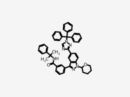 CC(C)(NC(=O)c1cccc(-c2nn(C3CCCCO3)c3ccc(-c4ncn(C(c5ccccc5)(c5ccccc5)c5ccccc5)n4)cc23)c1)c1ccccc1